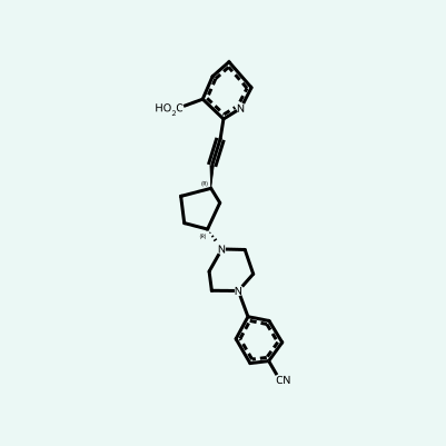 N#Cc1ccc(N2CCN([C@@H]3CC[C@@H](C#Cc4ncccc4C(=O)O)C3)CC2)cc1